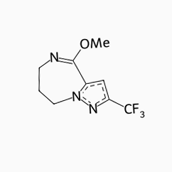 COC1=NCCCn2nc(C(F)(F)F)cc21